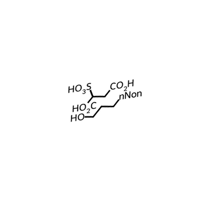 CCCCCCCCCCCCO.O=C(O)CC(C(=O)O)S(=O)(=O)O